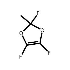 CC1(F)OC(F)=C(F)O1